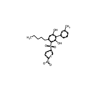 CCCCCc1cc(O)c(-c2cccc(C)c2)c(O)c1S(=O)(=O)c1ccc([N+](=O)[O-])cc1